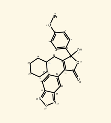 CC(C)Oc1ccc(C2(O)OC(=O)C(c3ccc4nsnc4c3)=C2CC2CCCCC2)cc1